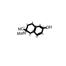 CNC1(C#N)CCc2cc(O)ccc2C1